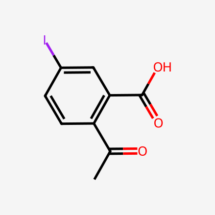 CC(=O)c1ccc(I)cc1C(=O)O